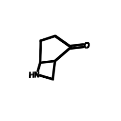 O=C1CCC2NCC12